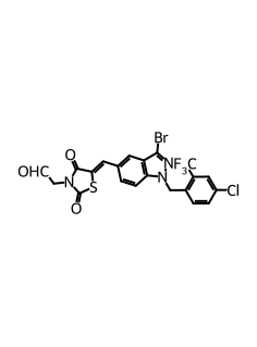 O=CCN1C(=O)S/C(=C\c2ccc3c(c2)c(Br)nn3Cc2ccc(Cl)cc2C(F)(F)F)C1=O